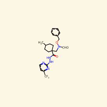 CC1CCC(CN(C=O)OCc2ccccc2)(C(=O)NNc2nccc(C(F)(F)F)n2)CC1